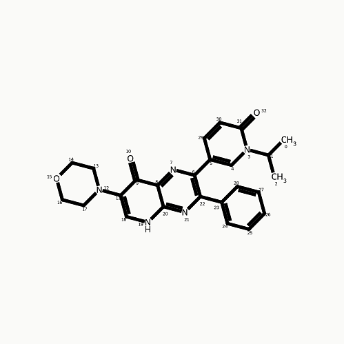 CC(C)n1cc(-c2nc3c(=O)c(N4CCOCC4)c[nH]c3nc2-c2ccccc2)ccc1=O